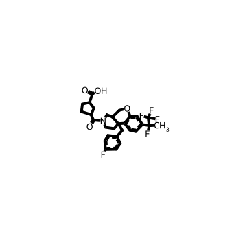 CC(F)(c1ccc2c(c1)OCC1CN(C(=O)C3CCC(C(=O)O)C3)CCC21Cc1ccc(F)cc1)C(F)(F)F